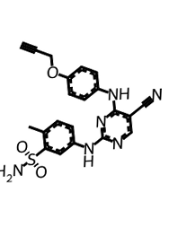 C#CCOc1ccc(Nc2nc(Nc3ccc(C)c(S(N)(=O)=O)c3)ncc2C#N)cc1